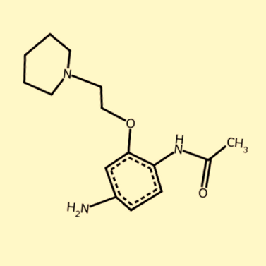 CC(=O)Nc1ccc(N)cc1OCCN1CCCCC1